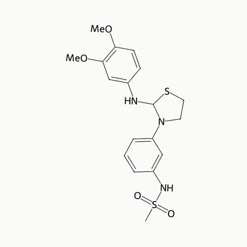 COc1ccc(NC2SCCN2c2cccc(NS(C)(=O)=O)c2)cc1OC